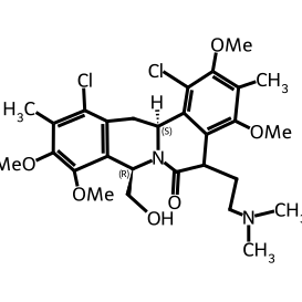 COc1c(C)c(OC)c2c(c1Cl)[C@@H]1Cc3c(Cl)c(C)c(OC)c(OC)c3[C@H](CO)N1C(=O)C2CCN(C)C